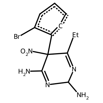 CCC1=NC(N)N=C(N)C1(c1ccccc1Br)[N+](=O)[O-]